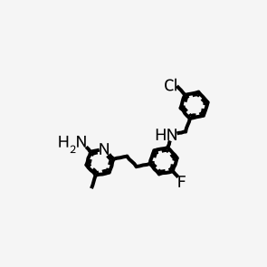 Cc1cc(N)nc(CCc2cc(F)cc(NCc3cccc(Cl)c3)c2)c1